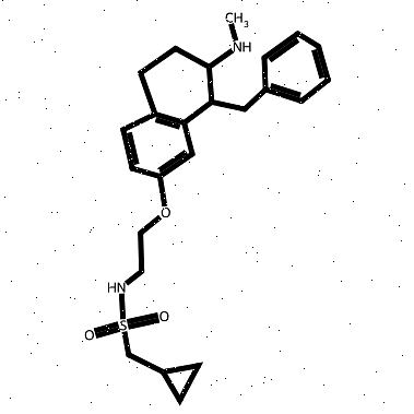 CNC1CCc2ccc(OCCNS(=O)(=O)CC3CC3)cc2C1Cc1ccccc1